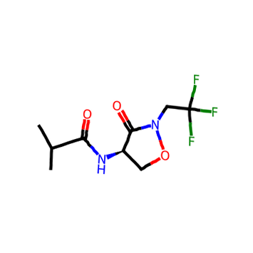 CC(C)C(=O)N[C@@H]1CON(CC(F)(F)F)C1=O